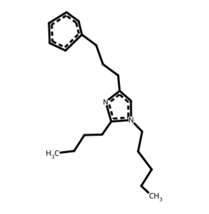 CCCCCn1cc(CCCc2ccccc2)nc1CCCC